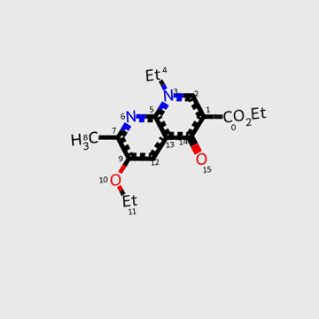 CCOC(=O)c1cn(CC)c2nc(C)c(OCC)cc2c1=O